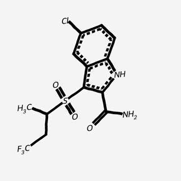 CC(CC(F)(F)F)S(=O)(=O)c1c(C(N)=O)[nH]c2ccc(Cl)cc12